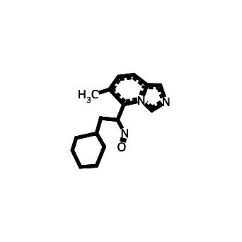 Cc1ccc2cncn2c1C(CC1CCCCC1)N=O